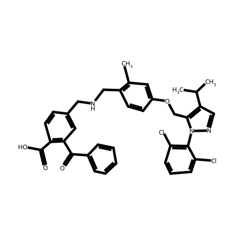 Cc1cc(OCc2c(C(C)C)cnn2-c2c(Cl)cccc2Cl)ccc1CNCc1ccc(C(=O)O)c(C(=O)c2ccccc2)c1